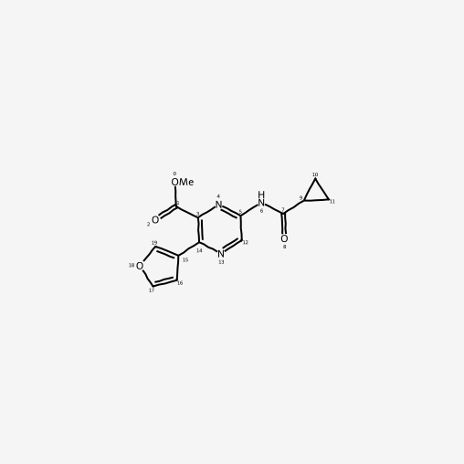 COC(=O)c1nc(NC(=O)C2CC2)cnc1-c1ccoc1